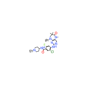 CCN1CCC(NC(=O)c2cc(Cl)c(Nc3ncc4c(n3)N(C(C)C)CC(C)(C)C(=O)N4C)cc2F)CC1